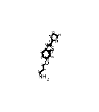 NCCCOc1ccc2nc(C3=NCCS3)sc2c1